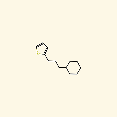 c1csc(CCCC2CCCCC2)c1